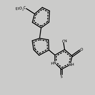 CCOC(=O)c1cccc(-c2cccc(-c3[nH]c(=S)[nH]c(=O)c3C#N)c2)c1